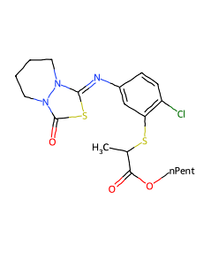 CCCCCOC(=O)C(C)Sc1cc(N=c2sc(=O)n3n2CCCC3)ccc1Cl